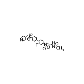 CC(=O)NCC1CN(c2ccc(-c3ccc(S(=O)(=O)Cc4ccncc4)cc3)c(F)c2)C(=O)O1